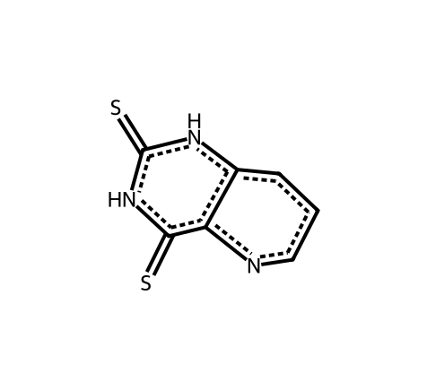 S=c1[nH]c(=S)c2ncccc2[nH]1